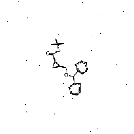 CC(C)(C)OC(=O)C1CC1COC(c1ccccc1)c1ccccc1